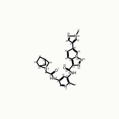 Cc1ncc(NC(=O)CN2CC3CCC2C3)cc1NC(=O)c1nnn2cc(-c3cnn(C)c3)ccc12